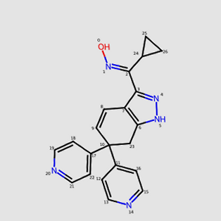 ON=C(c1n[nH]c2c1C=CC(c1ccncc1)(c1ccncc1)C2)C1CC1